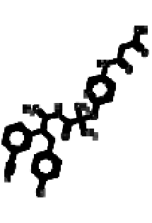 CC(NC(=O)C(C)(C)Oc1ccc(NC(=O)CC(=O)O)cn1)C(Cc1ccc(Cl)cc1)c1cccc(C#N)c1